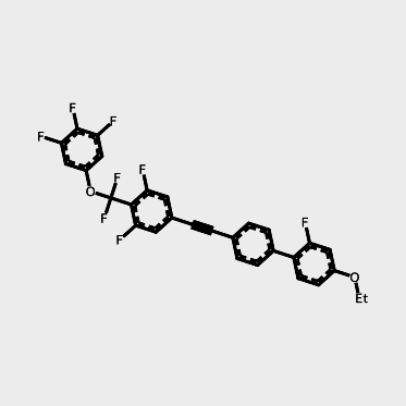 CCOc1ccc(-c2ccc(C#Cc3cc(F)c(C(F)(F)Oc4cc(F)c(F)c(F)c4)c(F)c3)cc2)c(F)c1